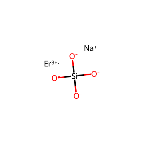 [Er+3].[Na+].[O-][Si]([O-])([O-])[O-]